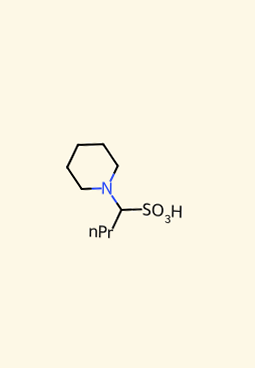 CCCC(N1CCCCC1)S(=O)(=O)O